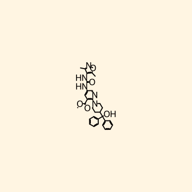 COC(=O)c1cc(NC(=O)Nc2c(C)noc2C)cnc1N1CCC(C(O)(c2ccccc2)c2ccccc2)CC1